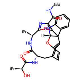 CC(C)[C@H](O)C(=O)N[C@H]1Cc2ccc3c(c2)C2(c4ccccc4N[C@H]2O3)c2oc(nc2C(=O)NC(C)(C)C)[C@H](C(C)C)NC1=O